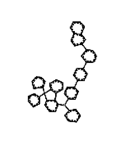 c1ccc(N(c2ccc(-c3ccc(-c4cccc(-c5ccc6ccccc6c5)c4)cc3)cc2)c2cccc3c2-c2ccccc2C3(c2ccccc2)c2ccccc2)cc1